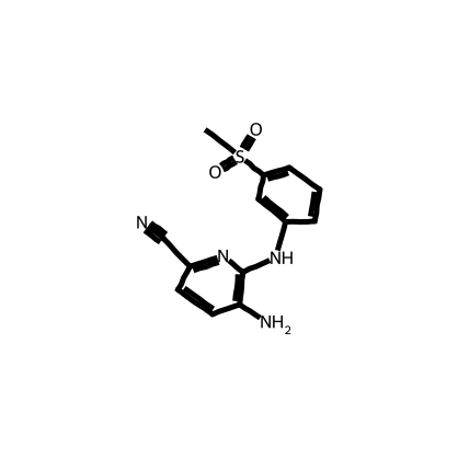 CS(=O)(=O)c1cccc(Nc2nc(C#N)ccc2N)c1